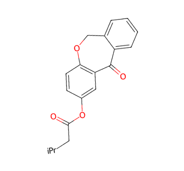 CC(C)CC(=O)Oc1ccc2c(c1)C(=O)c1ccccc1CO2